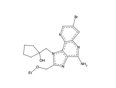 CCOCc1nc2c(N)nc3cc(Br)cnc3c2n1CC1(O)CCCC1